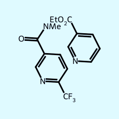 CCOC(=O)c1cccnc1.CNC(=O)c1ccc(C(F)(F)F)nc1